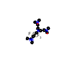 FC(F)(F)C(c1ccc(-c2cc(-c3ccccc3)nc(-c3ccccc3)n2)cc1)(c1ccc(-n2c3ccc(-c4ccc5c(c4)c4ccccc4n5-c4ccccc4)cc3c3cc(-c4ccc5c(c4)c4ccccc4n5-c4ccccc4)ccc32)cc1)C(F)(F)F